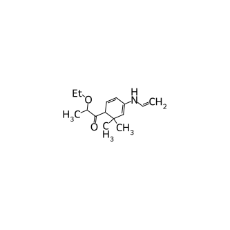 C=CNC1=CC(C)(C)C(C(=O)C(C)OCC)C=C1